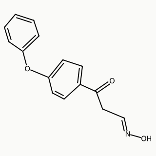 O=C(CC=NO)c1ccc(Oc2ccccc2)cc1